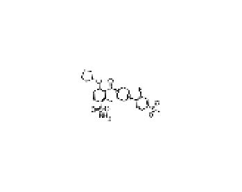 Cc1c(S(N)(=O)=O)ccc(OC2CCCC2)c1C(=O)N1CCN(c2ccc(S(C)(=O)=O)cc2F)CC1